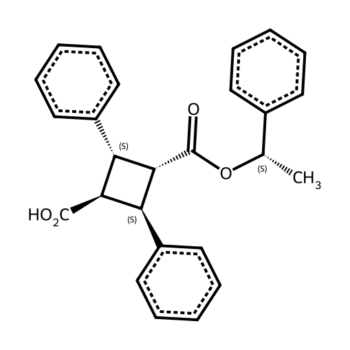 C[C@H](OC(=O)[C@H]1[C@@H](c2ccccc2)[C@H](C(=O)O)[C@@H]1c1ccccc1)c1ccccc1